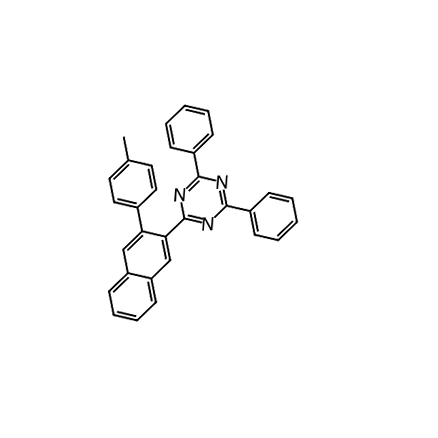 Cc1ccc(-c2cc3ccccc3cc2-c2nc(-c3ccccc3)nc(-c3ccccc3)n2)cc1